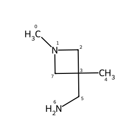 CN1CC(C)(CN)C1